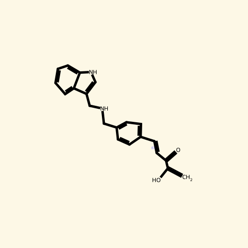 C=C(O)C(=O)/C=C/c1ccc(CNCc2c[nH]c3ccccc23)cc1